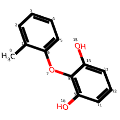 Cc1ccccc1Oc1c(O)cccc1O